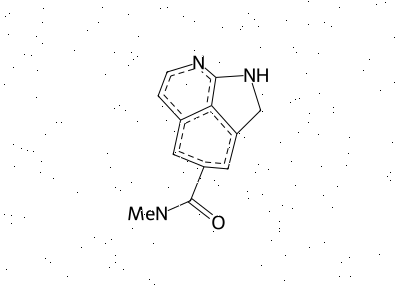 CNC(=O)c1cc2c3c(nccc3c1)NC2